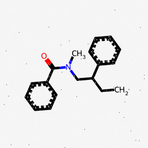 [CH2]CC(CN(C)C(=O)c1ccccc1)c1ccccc1